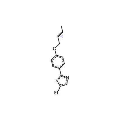 C/C=C/COc1ccc(-c2ncc(CC)s2)cc1